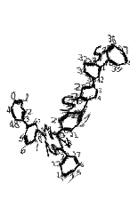 c1ccc(-c2cccc(-c3nc(-c4ccccc4)nc(-c4ccc5c(c4)sc4cc(-c6ccc7sc8ccccc8c7c6)ccc45)n3)c2)cc1